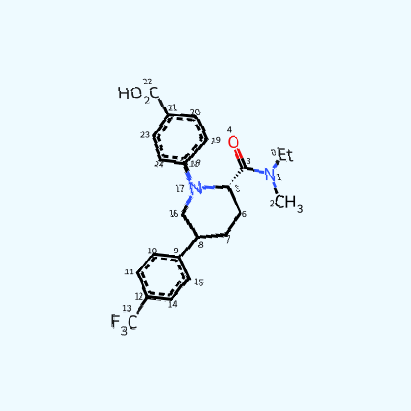 CCN(C)C(=O)[C@@H]1CCC(c2ccc(C(F)(F)F)cc2)CN1c1ccc(C(=O)O)cc1